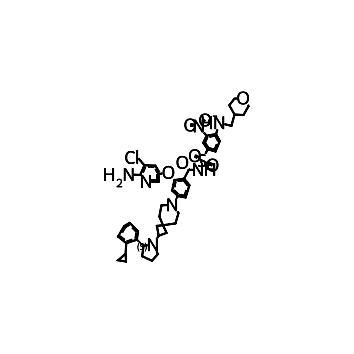 Nc1ncc(Oc2cc(N3CCC4(CC3)CC(N3CCC[C@H]3c3ccccc3C3CC3)C4)ccc2C(=O)NS(=O)(=O)c2ccc(NCC3CCOCC3)c([N+](=O)[O-])c2)cc1Cl